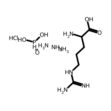 Cl.N.N.N.N=C(N)NCCCC(N)C(=O)O.O=[PH](O)O